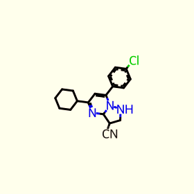 N#CC1CNN2C(c3ccc(Cl)cc3)=CC(C3CCCCC3)=NC12